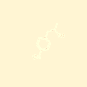 CC(S)Cc1ccc(C(C)(C)C)cc1